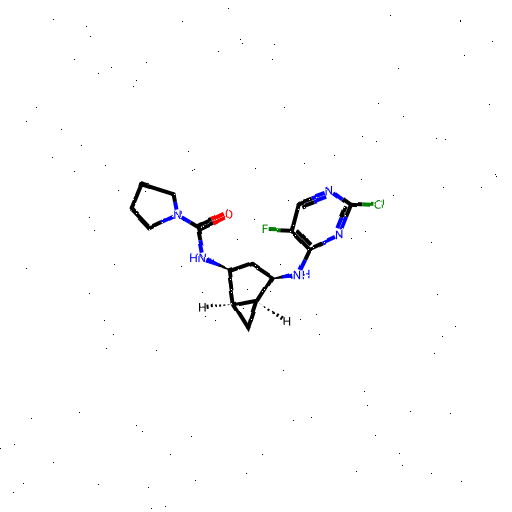 O=C(N[C@H]1C[C@@H](Nc2nc(Cl)ncc2F)[C@H]2C[C@H]21)N1CCCC1